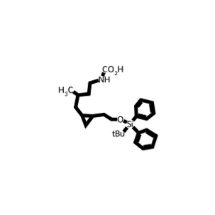 CC(CCNC(=O)O)CC1CC1CCO[Si](c1ccccc1)(c1ccccc1)C(C)(C)C